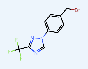 FC(F)(F)c1ncn(-c2ccc(CBr)cc2)n1